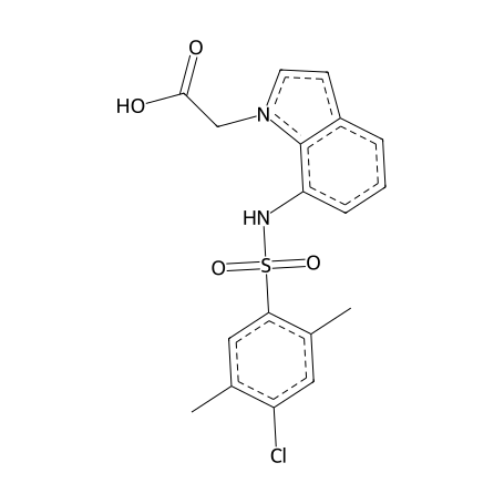 Cc1cc(S(=O)(=O)Nc2cccc3ccn(CC(=O)O)c23)c(C)cc1Cl